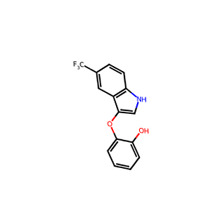 Oc1ccccc1Oc1c[nH]c2ccc(C(F)(F)F)cc12